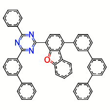 c1ccc(-c2cccc(-c3cccc(-c4ccc(-c5nc(-c6ccccc6)nc(-c6cccc(-c7ccccc7)c6)n5)c5oc6ccccc6c45)c3)c2)cc1